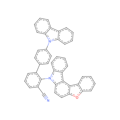 N#Cc1cccc(-c2ccc(-n3c4ccccc4c4ccccc43)cc2)c1-n1c2ccccc2c2c3c(ccc21)oc1ccccc13